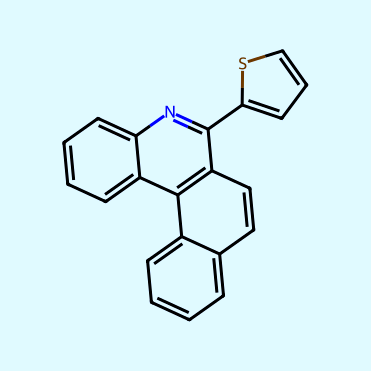 c1csc(-c2nc3ccccc3c3c2ccc2ccccc23)c1